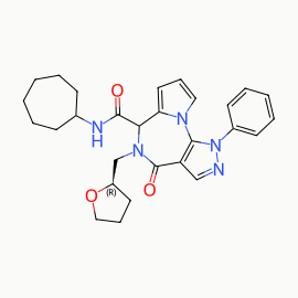 O=C(NC1CCCCCC1)C1c2cccn2-c2c(cnn2-c2ccccc2)C(=O)N1C[C@H]1CCCO1